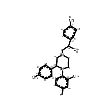 Cc1ccc(N2CCN(CC(O)c3ccc(C#N)cc3)CC2c2ccc(Cl)cc2)c(Cl)c1